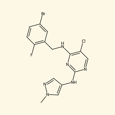 Cn1cc(Nc2ncc(Cl)c(NCc3cc(Br)ccc3F)n2)cn1